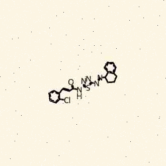 O=C(C=Cc1ccccc1Cl)Nc1nnc(N=NC2CCCc3ccccc32)s1